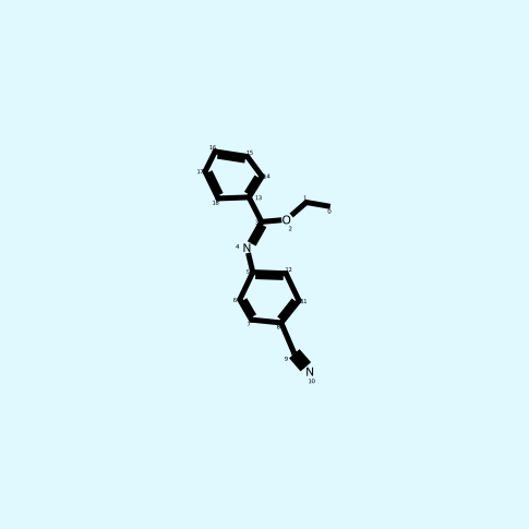 CCOC(=Nc1ccc(C#N)cc1)c1ccccc1